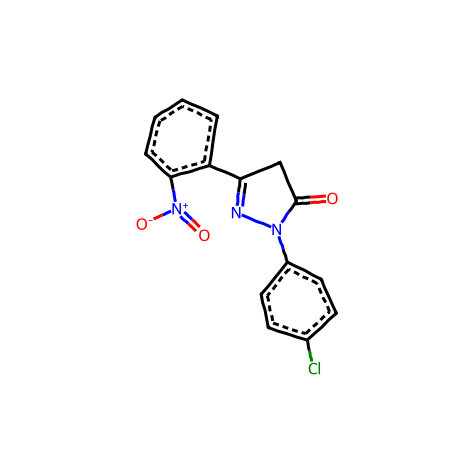 O=C1CC(c2ccccc2[N+](=O)[O-])=NN1c1ccc(Cl)cc1